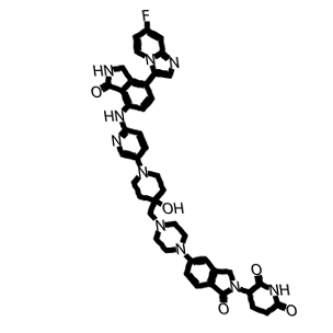 O=C1CCC(N2Cc3cc(N4CCN(CC5(O)CCN(c6ccc(Nc7ccc(-c8cnc9cc(F)ccn89)c8c7C(=O)NC8)nc6)CC5)CC4)ccc3C2=O)C(=O)N1